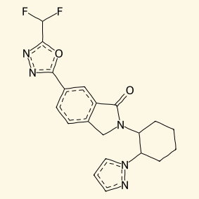 O=C1c2cc(-c3nnc(C(F)F)o3)ccc2CN1C1CCCCC1n1cccn1